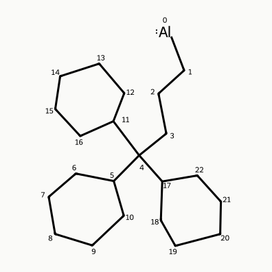 [Al][CH2]CCC(C1CCCCC1)(C1CCCCC1)C1CCCCC1